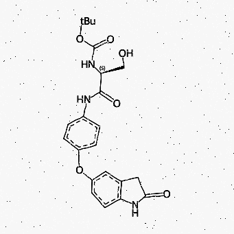 CC(C)(C)OC(=O)N[C@@H](CO)C(=O)Nc1ccc(Oc2ccc3c(c2)CC(=O)N3)cc1